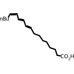 CCCC\C=C/C=C/C=C/CCCCCCCC(=O)O